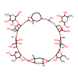 CC1OC(CO)[C@@H](O[C@@H]2OC(CO)[C@H]3O[C@@H]4OC(CO)[C@@H](O[C@@H]5OC(CO)C(C)C(O)C5OCC5OC6CC[C@@H]7CC(CC[C@H]6O5)OC(COC5C(O)C(C)C(CO)O[C@H]5O[C@@H]5C(CO)O[C@@H](O[C@@H]6C(CO)O[C@@H](O[C@@H]8C(CO)OC(C)C(O)C8O)C(OCC8OC9CCCCC(CC[C@@H]9O8)OC(O)COC2C3O)C6O)C(O)C5O)O7)C(O)C4O)C(O)C1O